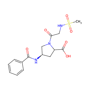 CS(=O)(=O)NCC(=O)N1C[C@H](NC(=O)c2ccccc2)CC1C(=O)O